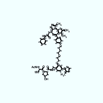 CC(=O)N[C@H](C(=O)N1C[C@H](O)C[C@H]1C(=O)NCc1ccc(-c2scnc2C)cc1OCCOCCCOc1ccc(C2=N[C@@H](CC(=O)Nc3ccccc3)c3nnc(C)n3-c3sc(C)c(C)c32)cc1)C(C)(C)C